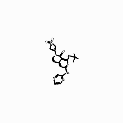 CC(C)(C)Nc1nc(Nc2cnccn2)cc2ccn(C3CS(=O)(=O)C3)c(=O)c12